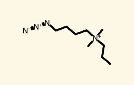 CCC[N+](C)(C)CCCCN=[N+]=[N-]